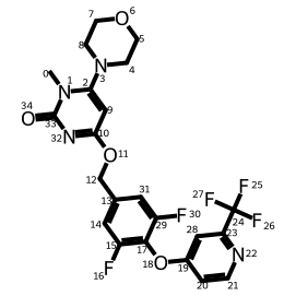 Cn1c(N2CCOCC2)cc(OCc2cc(F)c(Oc3ccnc(C(F)(F)F)c3)c(F)c2)nc1=O